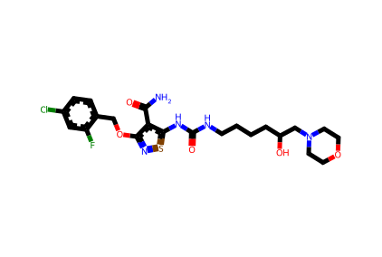 NC(=O)c1c(OCc2ccc(Cl)cc2F)nsc1NC(=O)NCCCCC(O)CN1CCOCC1